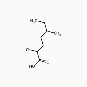 CCC(C)CCC(Cl)C(=O)O